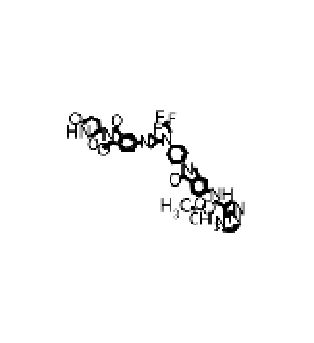 CC(C)Oc1cc2c(cc1NC(=O)c1cnn3cccnc13)CN(C1CCC(N(CC(F)(F)F)C3CN(c4ccc5c(c4)C(=O)N(C4CCC(=O)NC4=O)C5=O)C3)CC1)C2=O